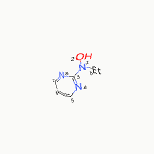 CCN(O)c1ncccn1